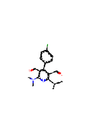 CC(C)c1nc(N(C)C)c(C=O)c(-c2ccc(F)cc2)c1C=O